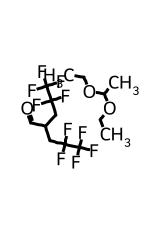 CCOC(C)OCC.O=CC(CC(F)(F)C(F)(F)F)CC(F)(F)C(F)(F)F